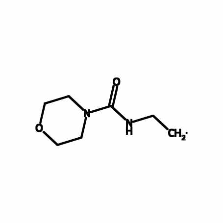 [CH2]CNC(=O)N1CCOCC1